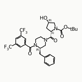 CC(C)(C)OC(=O)N1C[C@H](O)C[C@H]1C(=O)N1CCN(C(=O)c2cc(C(F)(F)F)cc(C(F)(F)F)c2)[C@H](Cc2ccccc2)C1